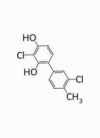 Cc1ccc(-c2ccc(O)c(Cl)c2O)cc1Cl